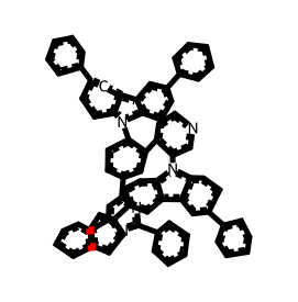 c1ccc(-c2ccc3c(c2)c2cc(-c4ccccc4)ccc2n3-c2ccc(-c3cc(-c4ccccc4)nc(-c4ccccc4)n3)cc2-c2ccncc2-n2c3ccc(-c4ccccc4)cc3c3cc(-c4ccccc4)ccc32)cc1